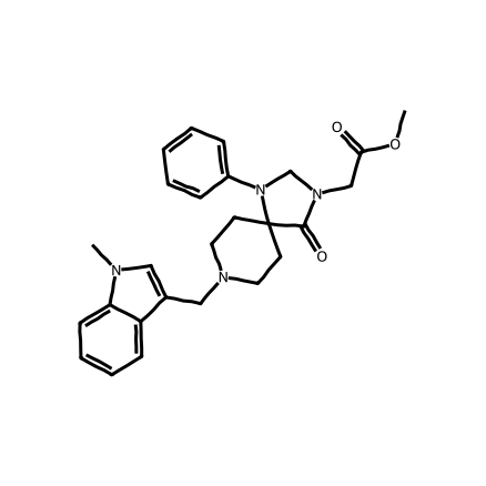 COC(=O)CN1CN(c2ccccc2)C2(CCN(Cc3cn(C)c4ccccc34)CC2)C1=O